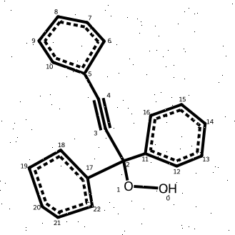 OOC(C#Cc1ccccc1)(c1ccccc1)c1ccccc1